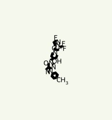 Cc1ccc(-n2ncc3c(=O)n(CC4(O)CCN(C(=O)C[C@@H](C(F)F)n5ccc(F)n5)CC4)cnc32)cc1